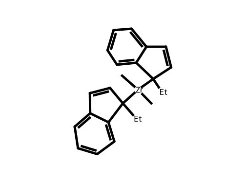 CC[C]1([Zr]([CH3])([CH3])[C]2(CC)C=Cc3ccccc32)C=Cc2ccccc21